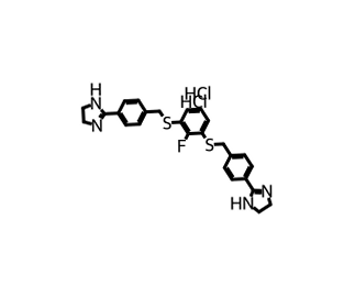 Cl.Cl.Fc1c(SCc2ccc(C3=NCCN3)cc2)cccc1SCc1ccc(C2=NCCN2)cc1